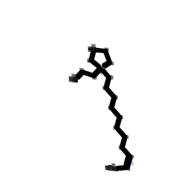 CCCCCCCC/C=C\CCCCCCCC[N+]1(CCO)CCNC1